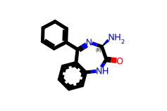 N[C@@H]1N=C(C2=CCCC=C2)c2ccccc2NC1=O